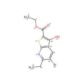 CCOC(=O)c1sc2nc(CC)c(Br)cc2c1O